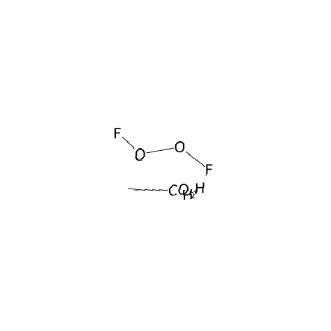 CC(=O)O.FOOF.[H+]